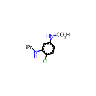 CC(C)Nc1cc(NC(=O)O)ccc1Cl